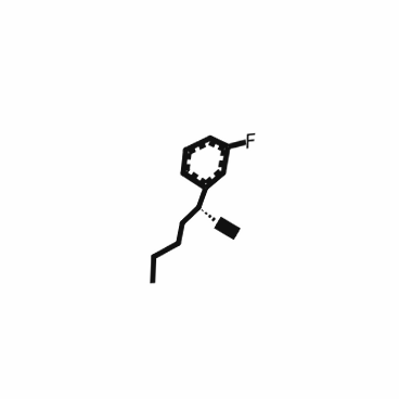 C#C[C@H](CCCC)c1cccc(F)c1